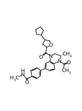 CNC(=O)c1ccc(-c2ccc3c(c2)N(C(=O)C2CC(C4CCCC4)CO2)C[C@H](C)N3C(C)=O)cc1